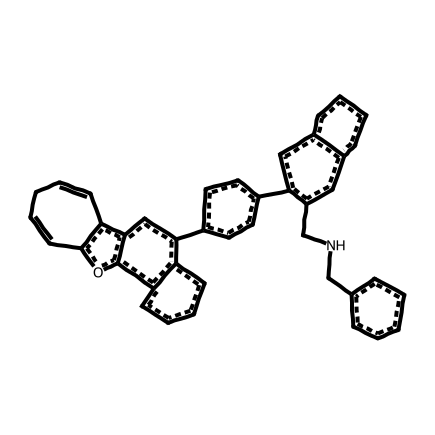 C1=Cc2oc3c(cc(-c4ccc(-c5cc6ccccc6cc5CNCc5ccccc5)cc4)c4ccccc43)c2C=CC1